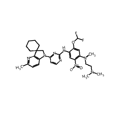 Cc1ccc2c(n1)C1(CCCCC1)CN2c1ccnc(Nc2cc([N+](=O)[O-])c(N(C)CCN(C)C)cc2OC(F)F)n1